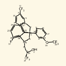 O[C@H](CN1CC(Cc2cccc(C(F)(F)F)c2)(c2cccc(OC(F)(F)F)c2)c2cccc(F)c21)C(F)(F)F